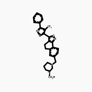 O=C(O)[C@H]1CCCN(Cc2ccc3c(c2)CCc2c-3noc2-c2noc(-c3ccccc3)c2C(F)(F)F)C1